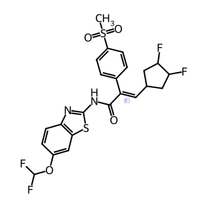 CS(=O)(=O)c1ccc(/C(=C\C2CC(F)C(F)C2)C(=O)Nc2nc3ccc(OC(F)F)cc3s2)cc1